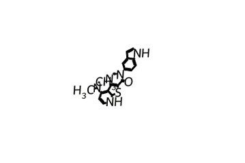 CN(C)C1=C2c3ncn(-c4ccc5[nH]ccc5c4)c(=O)c3SC2NC=C1